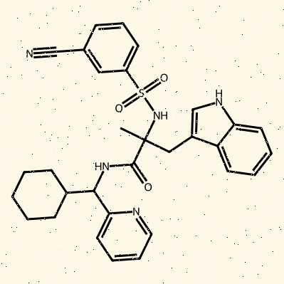 CC(Cc1c[nH]c2ccccc12)(NS(=O)(=O)c1cccc(C#N)c1)C(=O)NC(c1ccccn1)C1CCCCC1